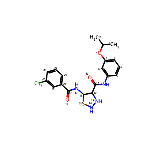 CC(C)Oc1cccc(NC(=O)C2NNSC2NC(=O)c2cccc(Cl)c2)c1